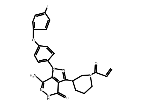 C=CC(=O)N1CCC[C@@H](c2nn(-c3ccc(Oc4ccc(F)cc4)cc3)c3c(N)n[nH]c(=O)c23)C1